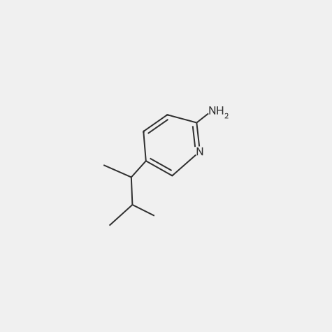 CC(C)C(C)c1ccc(N)nc1